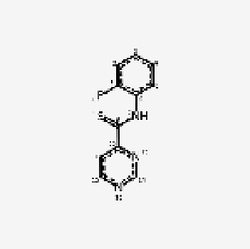 Fc1ccccc1NC(=S)c1ccncn1